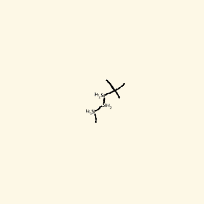 C[SiH2][SiH2][SiH2]C(C)(C)C